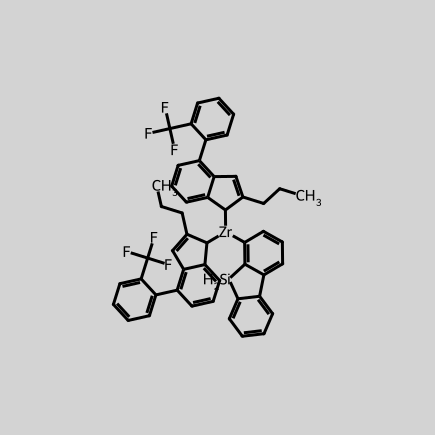 CCCC1=Cc2c(-c3ccccc3C(F)(F)F)cccc2[CH]1[Zr]([c]1cccc2c1[SiH2]c1ccccc1-2)[CH]1C(CCC)=Cc2c(-c3ccccc3C(F)(F)F)cccc21